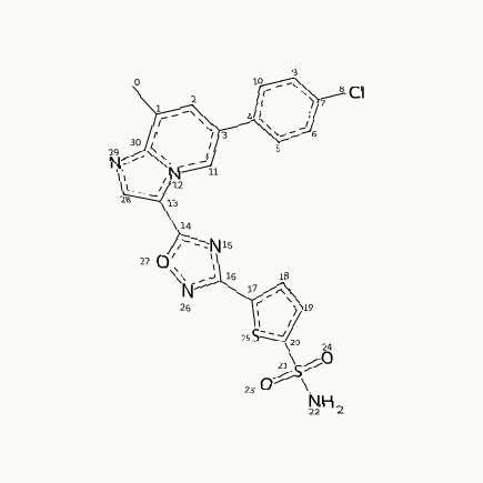 Cc1cc(-c2ccc(Cl)cc2)cn2c(-c3nc(-c4ccc(S(N)(=O)=O)s4)no3)cnc12